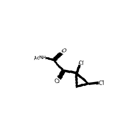 CC(=O)NC(=O)C(=O)C1(Cl)CC1Cl